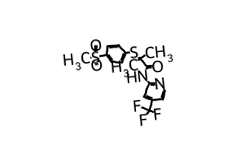 CC(C)(Sc1ccc(S(C)(=O)=O)cc1)C(=O)Nc1cc(C(F)(F)F)ccn1